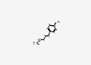 CC(C)c1ccc(/C=C/CO[C]=O)cc1